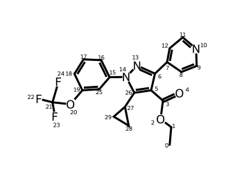 CCOC(=O)c1c(-c2ccncc2)nn(-c2cccc(OC(F)(F)F)c2)c1C1CC1